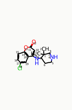 CC1(C)CNCCC1Nc1cc(=O)oc2ccc(Cl)cc12